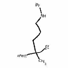 CCCCCC(C)(CC)CCCNC(C)C